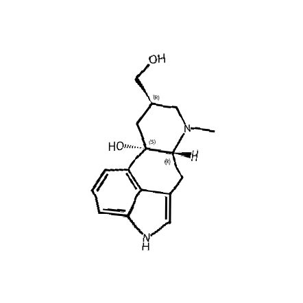 CN1C[C@H](CO)C[C@]2(O)c3cccc4[nH]cc(c34)C[C@@H]12